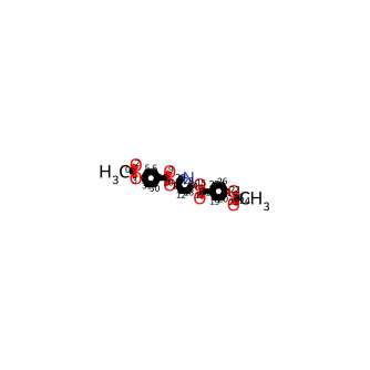 CC(=O)Oc1ccc(C(=O)Oc2ccc(OC(=O)c3ccc(OC(C)=O)cc3)nc2)cc1